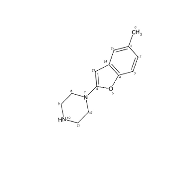 Cc1ccc2oc(N3CCNCC3)cc2c1